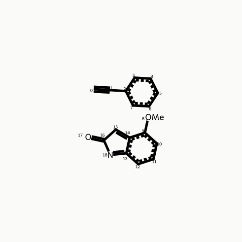 C#Cc1ccccc1.COc1cccc2c1=CC(=O)N=2